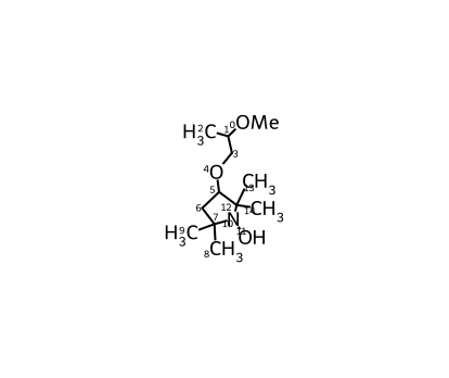 COC(C)COC1CC(C)(C)N(O)C1(C)C